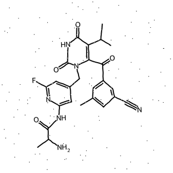 Cc1cc(C#N)cc(C(=O)c2c(C(C)C)c(=O)[nH]c(=O)n2Cc2cc(F)nc(NC(=O)C(C)N)c2)c1